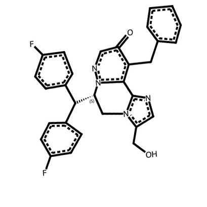 O=c1cnn2c(c1Cc1ccccc1)-c1ncc(CO)n1C[C@@H]2C(c1ccc(F)cc1)c1ccc(F)cc1